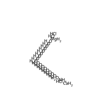 Cl.Cl.Cl.O.O.O.O.O.O.O.O.O.O.O.O.O.O.O.O.O.O.[AlH3].[CaH2].[MgH2]